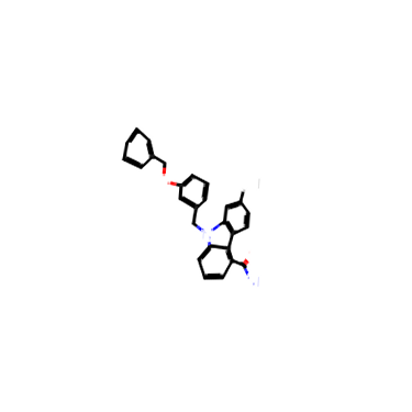 Cc1c[c]c2c3c(C(N)=O)cccc3n(Cc3cccc(OCc4ccccc4)c3)c2c1